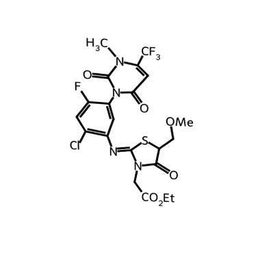 CCOC(=O)CN1C(=O)C(COC)SC1=Nc1cc(-n2c(=O)cc(C(F)(F)F)n(C)c2=O)c(F)cc1Cl